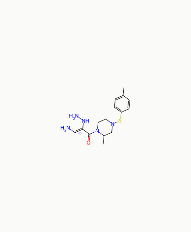 Cc1ccc(SN2CCN(C(=O)/C(=C/N)NN)C(C)C2)cc1